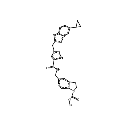 CC(C)(C)OC(=O)N1CCc2cc(CNC(=O)c3cn(Cc4cn5cc(C6CC6)ccc5n4)nn3)ncc21